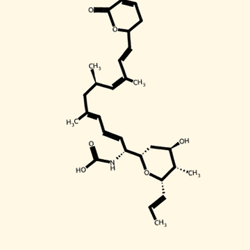 C/C=C/[C@@H]1O[C@H]([C@@H](/C=C/C=C(\C)C[C@@H](C)/C=C(C)\C=C\C2CC=CC(=O)O2)NC(=O)O)C[C@@H](O)[C@@H]1C